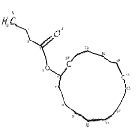 CCCC(=O)OC1CCCCCCCCCCCC1